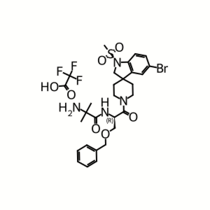 CC(C)(N)C(=O)N[C@H](COCc1ccccc1)C(=O)N1CCC2(CC1)CN(S(C)(=O)=O)c1ccc(Br)cc12.O=C(O)C(F)(F)F